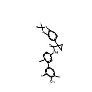 Cc1ccc(NC(=O)C2(c3ccc4c(c3)OC(F)(F)O4)CC2)cc1-c1cc(F)c(O)c(F)c1